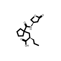 CCC[C@H](CC1(C(=O)N[C@H]2COC(=O)C2)CCCC1)C(=O)O